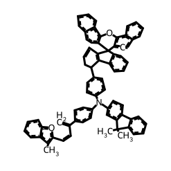 C=C(/C=C\c1oc2ccccc2c1C)c1ccc(N(c2ccc(C3CC=CC4=C3c3ccccc3C43c4ccc5ccccc5c4Oc4c3ccc3ccccc43)cc2)c2ccc3c(c2)C(C)(C)c2ccccc2-3)cc1